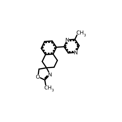 CC1=NC2(CCc3c(cccc3-c3cncc(C)n3)C2)CO1